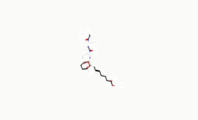 CCC(=O)NCC(=O)NC[C@H]1[C@@H](CC=CCCCC(=O)CO)[C@H]2CC[C@@H]1O2